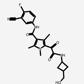 Cc1c(C(=O)Nc2ccc(F)c(C#N)c2)c(C)n(C)c1C(=O)C(=O)NC1CC(CO)C1